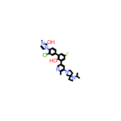 Cc1ncc(-c2cc(F)cc(-c3ccc(N4C=CN(C)C4O)c(Cl)c3)c2O)cc1N1CCC2(CCN2C(C)C)C1